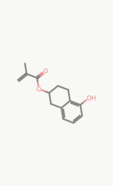 C=C(C)C(=O)OC1CCc2c(O)cccc2C1